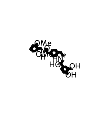 COc1cccc(OC)c1CNC(=O)Cc1ccc(C[C@@H](C)NC[C@@H](O)c2ccc(O)c(CO)c2)cc1